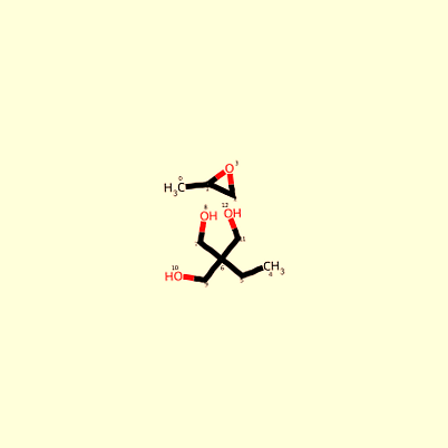 CC1CO1.CCC(CO)(CO)CO